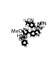 COc1ncc(-c2ccc3ncc4c(c3c2)n(-c2ccc(C(C)(C)C#N)cc2)c(=NC#N)n4C)cc1NS(=O)(=O)c1ccccc1